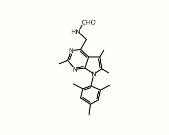 Cc1cc(C)c(-n2c(C)c(C)c3c(CNC=O)nc(C)nc32)c(C)c1